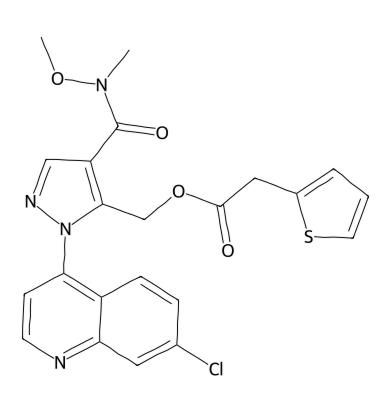 CON(C)C(=O)c1cnn(-c2ccnc3cc(Cl)ccc23)c1COC(=O)Cc1cccs1